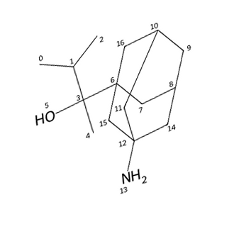 CC(C)C(C)(O)C12CC3CC(CC(N)(C3)C1)C2